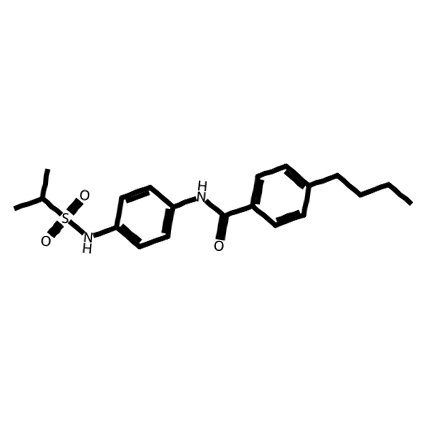 CCCCc1ccc(C(=O)Nc2ccc(NS(=O)(=O)C(C)C)cc2)cc1